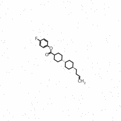 C=CCC[C@H]1CC[C@H](C2CCC(C(=O)Oc3ccc(F)cc3)CC2)CC1